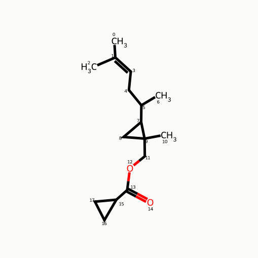 CC(C)=CCC(C)C1CC1(C)COC(=O)C1CC1